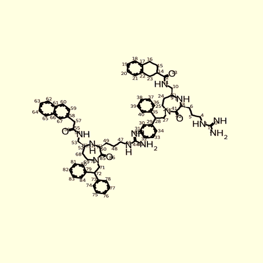 N=C(N)NCCC[C@@H]1N[C@H](CNC(=O)C2CCc3ccccc3C2)CCN(CC(c2ccccc2)c2ccccc2)C1=O.N=C(N)NCCC[C@@H]1N[C@H](CNC(=O)Cc2ccc3ccccc3c2)CCN(CC(c2ccccc2)c2ccccc2)C1=O